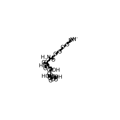 [N-]=[N+]=NCCOCCOCCOCCOCCC(=O)C(N)=CCc1cn([C@H]2C[C@H](O)[C@@H](COP(=O)(O)OP(=O)(O)OP(=O)(O)O)O2)c(=O)[nH]c1=O